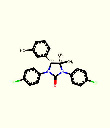 C[C@]1(C(F)(F)F)[C@@H](c2cccc(C#N)c2)N(c2ccc(Cl)cc2)C(=O)N1c1ccc(Cl)cc1